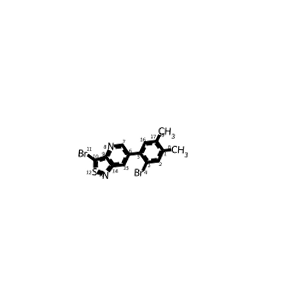 Cc1cc(Br)c(-c2cnc3c(Br)snc3c2)cc1C